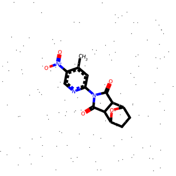 Cc1cc(N2C(=O)C3C4CCC(O4)C3C2=O)ncc1[N+](=O)[O-]